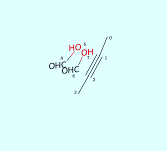 CC#CC.O=CO.O=CO